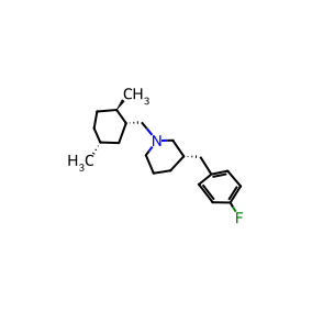 C[C@@H]1CC[C@@H](C)[C@H](CN2CCC[C@@H](Cc3ccc(F)cc3)C2)C1